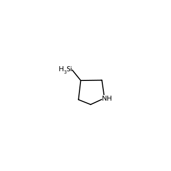 [SiH3]C1CCNC1